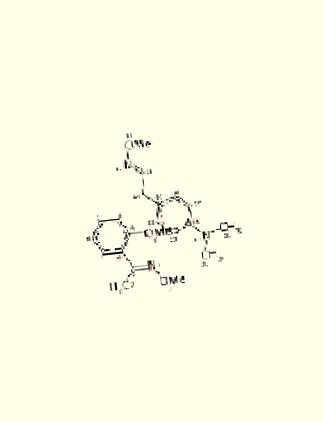 CON=C(C)c1ccccc1OC.CON=CCc1ccc(N(C)C)cc1